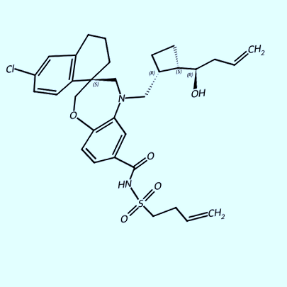 C=CCCS(=O)(=O)NC(=O)c1ccc2c(c1)N(C[C@@H]1CC[C@@H]1[C@H](O)CC=C)C[C@@]1(CCCc3cc(Cl)ccc31)CO2